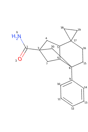 NC(=O)C12CC3C(C1)C(c1ccccc1)(CCC31CC1)C2